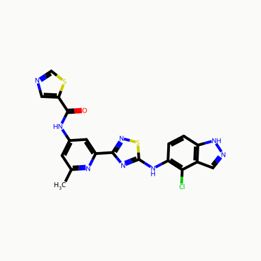 Cc1cc(NC(=O)c2cncs2)cc(-c2nsc(Nc3ccc4[nH]ncc4c3Cl)n2)n1